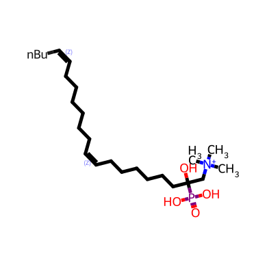 CCCC/C=C\CCCCCC/C=C\CCCCCCC(O)(C[N+](C)(C)C)P(=O)(O)O